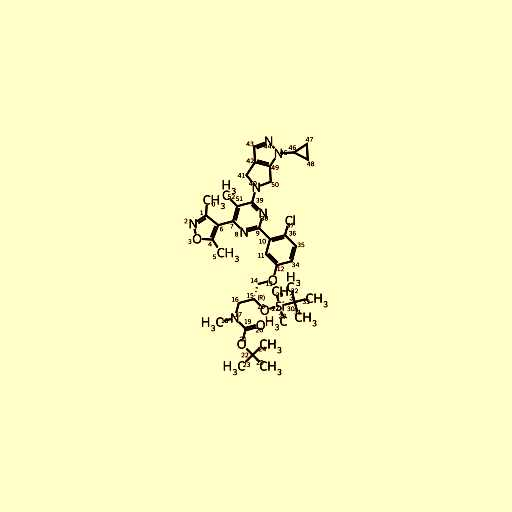 Cc1noc(C)c1-c1nc(-c2cc(OC[C@@H](CN(C)C(=O)OC(C)(C)C)O[Si](C)(C)C(C)(C)C)ccc2Cl)nc(N2Cc3cnn(C4CC4)c3C2)c1C